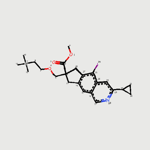 COC(=O)C1(COCC[Si](C)(C)C)Cc2cc3cnc(C4CC4)cc3c(I)c2C1